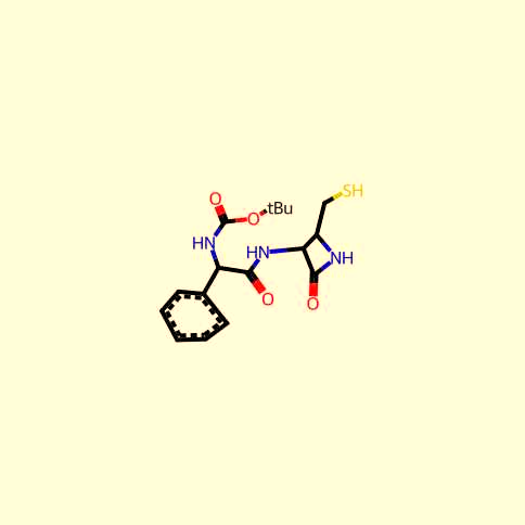 CC(C)(C)OC(=O)NC(C(=O)NC1C(=O)NC1CS)c1ccccc1